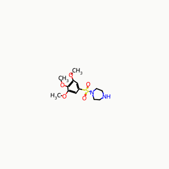 COc1cc(S(=O)(=O)N2CCNCC2)cc(OC)c1OC